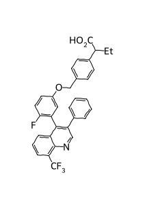 CCC(C(=O)O)c1ccc(COc2ccc(F)c(-c3c(-c4ccccc4)cnc4c(C(F)(F)F)cccc34)c2)cc1